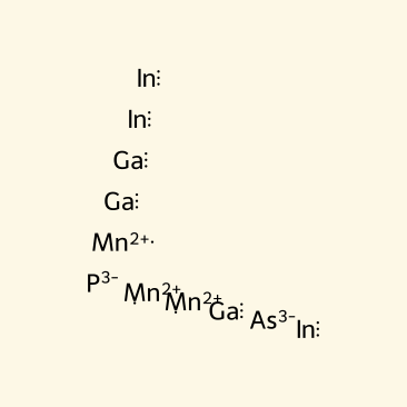 [As-3].[Ga].[Ga].[Ga].[In].[In].[In].[Mn+2].[Mn+2].[Mn+2].[P-3]